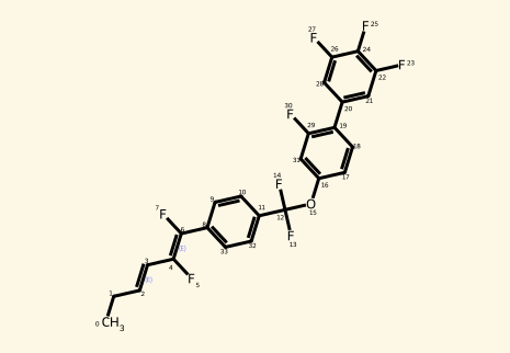 CC/C=C/C(F)=C(\F)c1ccc(C(F)(F)Oc2ccc(-c3cc(F)c(F)c(F)c3)c(F)c2)cc1